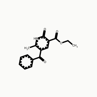 CCOC(=O)c1cc(C(=O)c2ccccc2)c(C)[nH]c1=O